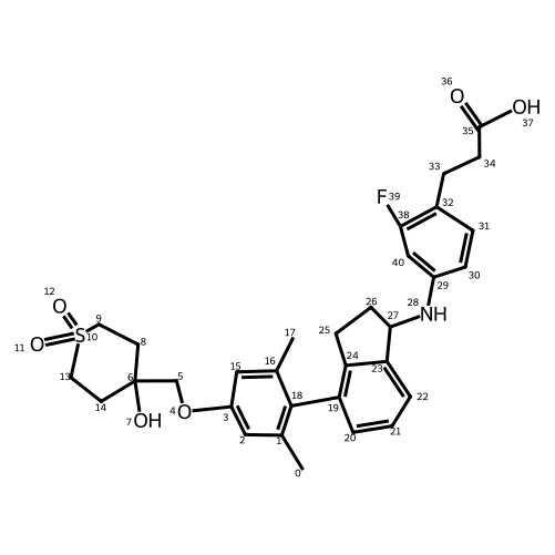 Cc1cc(OCC2(O)CCS(=O)(=O)CC2)cc(C)c1-c1cccc2c1CCC2Nc1ccc(CCC(=O)O)c(F)c1